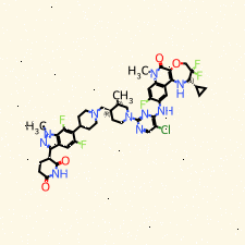 C[C@H]1CN(c2ncc(Cl)c(Nc3cc4c5c(c(=O)n(C)c4cc3F)OCC(F)(F)[C@H](C3CC3)N5)n2)CC[C@H]1CN1CCC(c2c(F)cc3c(C4CCC(=O)NC4=O)nn(C)c3c2F)CC1